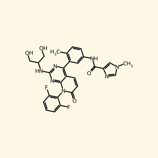 Cc1ccc(NC(=O)c2cn(C)cn2)cc1-c1nc(NC(CO)CO)nc2c1ccc(=O)n2-c1c(F)cccc1F